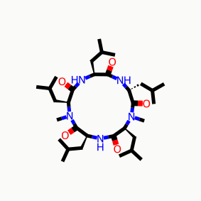 CC(C)C[C@@H]1NC(=O)[C@H](CC(C)C)N(C)C(=O)[C@H](CC(C)C)NC(=O)[C@H](CC(C)C)N(C)C(=O)[C@@H](CC(C)C)NC1=O